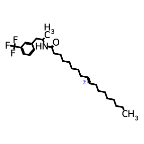 CCCCCCCC/C=C/CCCCCCCC(=O)NC(C)Cc1cccc(C(F)(F)F)c1